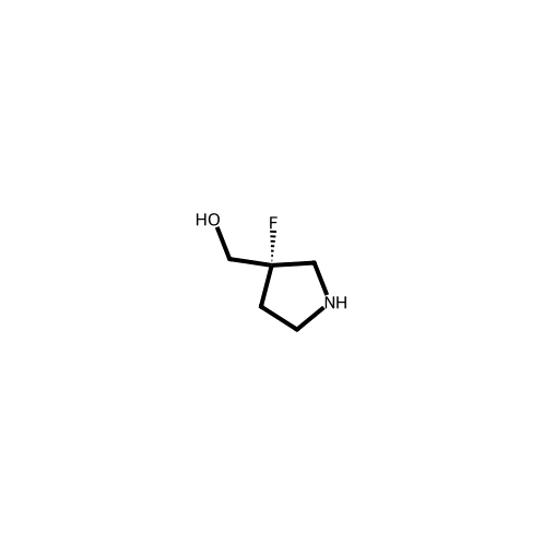 OC[C@]1(F)CCNC1